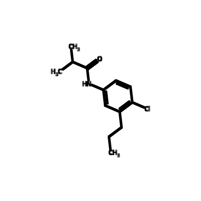 CCCc1cc(NC(=O)C(C)C)ccc1Cl